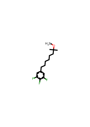 CC(C)(CCCCCCc1cc(F)c(F)c(F)c1)O[SiH3]